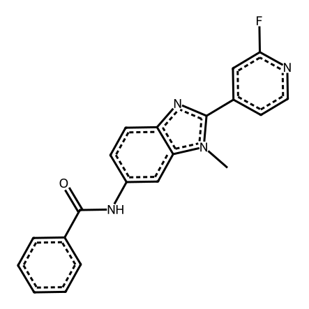 Cn1c(-c2ccnc(F)c2)nc2ccc(NC(=O)c3ccccc3)cc21